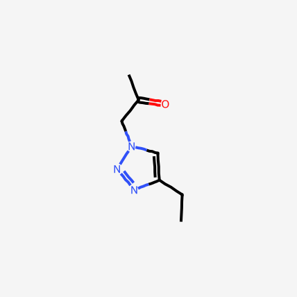 CCc1cn(CC(C)=O)nn1